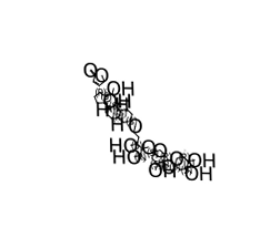 C[C@@H](O)C(O[C@H]1C[C@H](O)[C@H](O[C@H]2C[C@H](O)[C@H](O)[C@@H](C)O2)[C@@H](C)O1)[C@@H](O)CCO[C@H]1CC[C@@]2(C)[C@H](CC[C@@H]3[C@@H]2CC(O)[C@]2(C)[C@@H](C4=CC(=O)OC4)CCC32O)C1